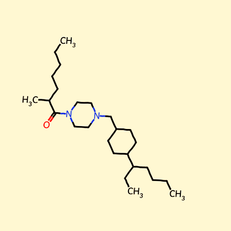 CCCCCC(C)C(=O)N1CCN(CC2CCC(C(CC)CCCC)CC2)CC1